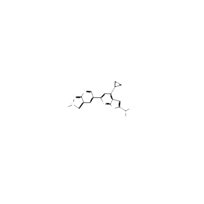 CC[C@H](O)c1cc2c(C3CC3)cc(-c3cnc4nn(C)cc4c3)nc2s1